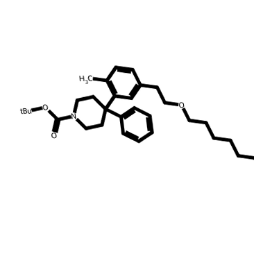 Cc1ccc(CCOCCCCCCBr)cc1C1(c2ccccc2)CCN(C(=O)OC(C)(C)C)CC1